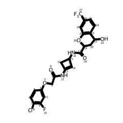 O=C(COc1ccc(Cl)c(F)c1)NC1=CC(NC(=O)C2CC(O)c3ccc(C(F)(F)F)cc3O2)C1